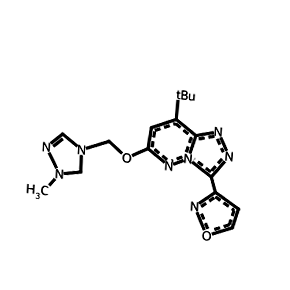 CN1CN(COc2cc(C(C)(C)C)c3nnc(-c4ccon4)n3n2)C=N1